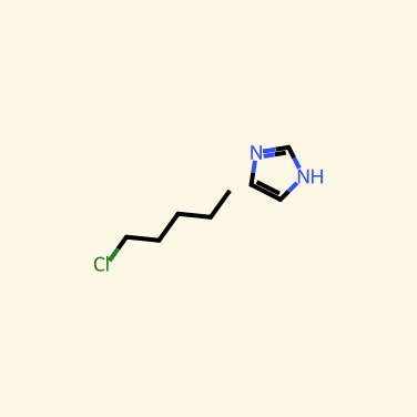 CCCCCCl.c1c[nH]cn1